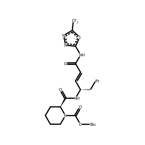 CC(C)C[C@@H](/C=C/C(=O)Nc1nnc(C(F)(F)F)s1)NC(=O)[C@@H]1CCCCN1C(=O)OC(C)(C)C